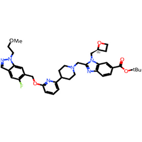 COCCn1ncc2cc(F)c(COc3cccc(C4CCN(Cc5nc6ccc(C(=O)OC(C)(C)C)cc6n5C[C@@H]5CCO5)CC4)n3)cc21